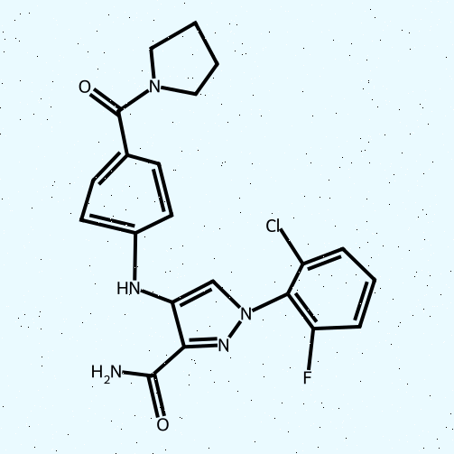 NC(=O)c1nn(-c2c(F)cccc2Cl)cc1Nc1ccc(C(=O)N2CCCC2)cc1